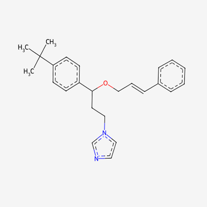 CC(C)(C)c1ccc(C(CCn2ccnc2)OCC=Cc2ccccc2)cc1